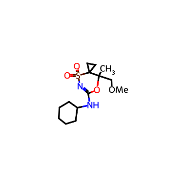 COCC1(C)OC(NC2CCCCC2)=NS(=O)(=O)C12CC2